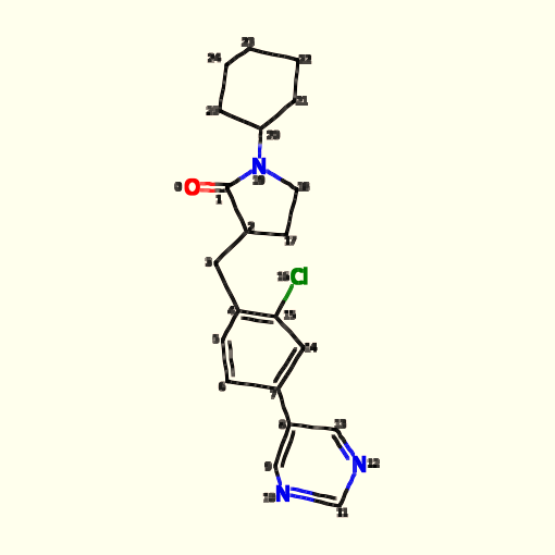 O=C1C(Cc2ccc(-c3cncnc3)cc2Cl)CCN1C1CCCCC1